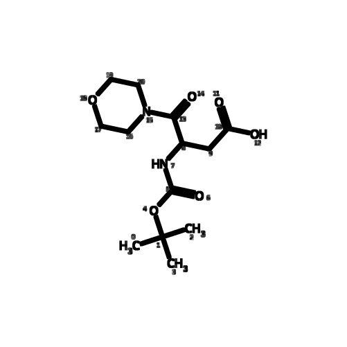 CC(C)(C)OC(=O)NC(CC(=O)O)C(=O)N1CCOCC1